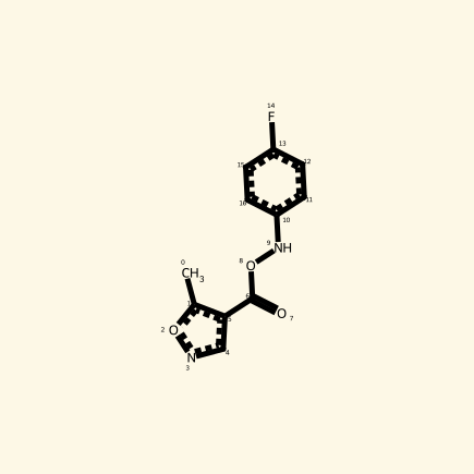 Cc1oncc1C(=O)ONc1ccc(F)cc1